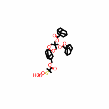 CC(C)(SOOO)C(=O)OCC12CC3CC(C1)C1(OCC(COC(=O)C45CC6CC(CC(C6)C4)C5)(COC(=O)C45CC6CC(CC(C6)C4)C5)CO1)C(C3)C2